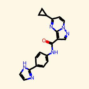 O=C(Nc1ccc(-c2ncc[nH]2)cc1)c1cnn2ccc(C3CC3)nc12